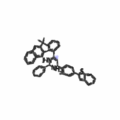 CC1(C)c2cc3ccccc3cc2-c2c(/C(=C/Cc3ccc(-c4cc5ccccc5s4)cc3)NC(N)c3ccccc3)cccc21